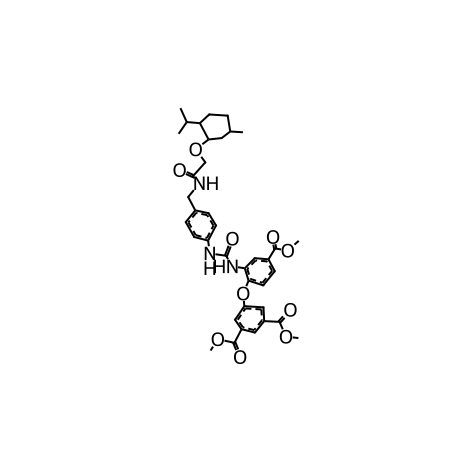 COC(=O)c1cc(Oc2ccc(C(=O)OC)cc2NC(=O)Nc2ccc(CNC(=O)COC3CC(C)CCC3C(C)C)cc2)cc(C(=O)OC)c1